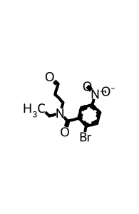 CCN(CCC=O)C(=O)c1cc([N+](=O)[O-])ccc1Br